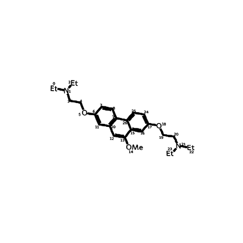 CCN(CC)CCOc1ccc2c(c1)cc(OC)c1cc(OCCN(CC)CC)ccc12